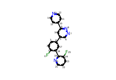 Fc1ccc(-c2cnnc(-c3ccncc3)c2)cc1-c1ncccc1F